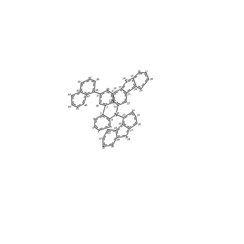 c1cc(-c2ccccc2N(c2ccc3sc4ccccc4c3c2)c2cccc3sc4ccccc4c23)cc(-c2cccc3ccccc23)c1